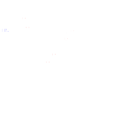 CCCCCCCCCCCOC(=O)CCCCCC(CCCCCC(=O)OCCCCCCCCCCC)COC(=O)C1CCNCC1